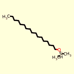 CCCCCCCCCCCCCCCCCO[SiH](C)C